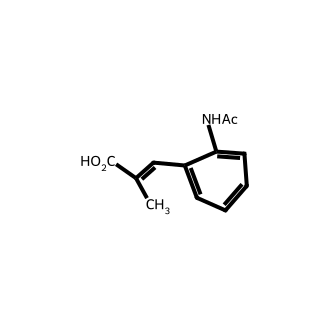 CC(=O)Nc1ccccc1C=C(C)C(=O)O